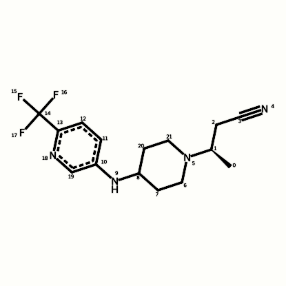 C[C@H](CC#N)N1CCC(Nc2ccc(C(F)(F)F)nc2)CC1